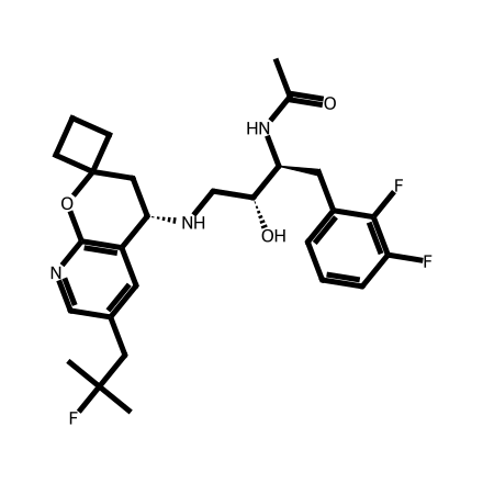 CC(=O)N[C@@H](Cc1cccc(F)c1F)[C@H](O)CN[C@H]1CC2(CCC2)Oc2ncc(CC(C)(C)F)cc21